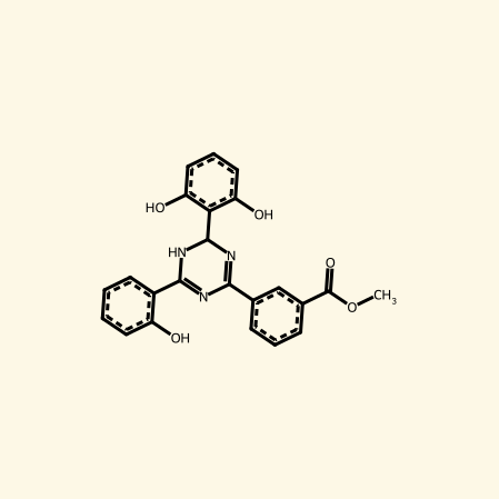 COC(=O)c1cccc(C2=NC(c3c(O)cccc3O)NC(c3ccccc3O)=N2)c1